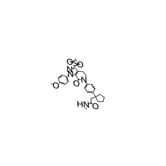 CNC(=O)CC1(c2ccc(N3CCc4c(S(C)(=O)=O)nn(-c5ccc(OC)cc5)c4C3=O)cc2)CCCC1